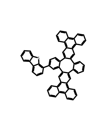 c1ccc2c(c1)-c1cc3c4ccccc4c4ccccc4c3cc1-c1ccc(-c3cccc4c3sc3ccccc34)cc1-c1cc3c4ccccc4c4ccccc4c3cc1-2